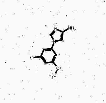 COc1cc(Cl)cc(-n2cnc(N)c2)c1